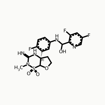 CN1C(=N)N[C@@]2(c3cc(NC(O)c4ncc(F)cc4F)ccc3F)CCOC2S1(=O)=O